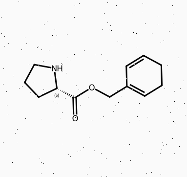 O=C(OCC1=CCCC=C1)[C@@H]1CCCN1